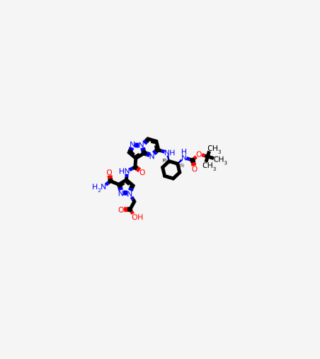 CC(C)(C)OC(=O)N[C@H]1CCCC[C@H]1Nc1ccn2ncc(C(=O)Nc3cn(CC(=O)O)nc3C(N)=O)c2n1